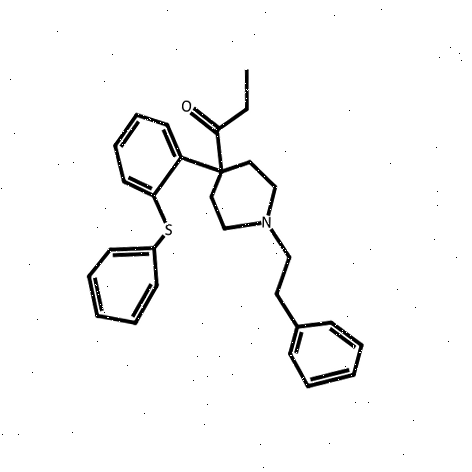 CCC(=O)C1(c2ccccc2Sc2ccccc2)CCN(CCc2ccccc2)CC1